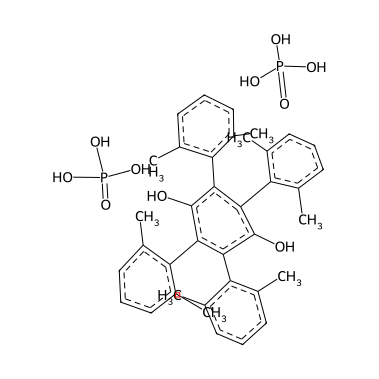 Cc1cccc(C)c1-c1c(O)c(-c2c(C)cccc2C)c(-c2c(C)cccc2C)c(O)c1-c1c(C)cccc1C.O=P(O)(O)O.O=P(O)(O)O